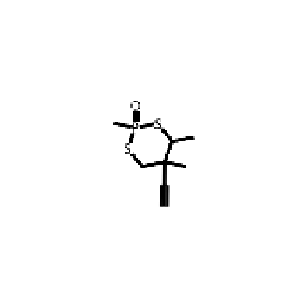 C#CC1(C)CSP(C)(=O)SC1C